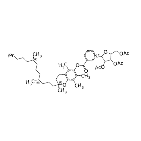 CC(=O)OCC1OC([n+]2cccc(C(=O)Oc3c(C)c(C)c4c(c3C)CC[C@@](C)(CCC[C@H](C)CCC[C@H](C)CCCC(C)C)O4)c2)C(OC(C)=O)C1OC(C)=O